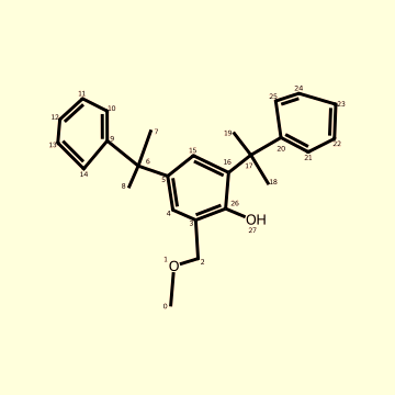 COCc1cc(C(C)(C)c2ccccc2)cc(C(C)(C)c2ccccc2)c1O